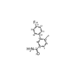 Cc1ccc(C(N)=O)cc1-c1ccc(F)cc1